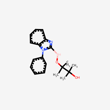 CC(C)(O)C(C)(C)OBc1nc2ccccc2n1-c1ccccc1